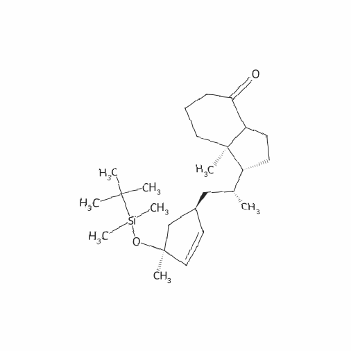 C[C@H](C[C@H]1C=C[C@@](C)(O[Si](C)(C)C(C)(C)C)C1)[C@H]1CCC2C(=O)CCC[C@@]21C